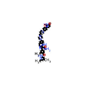 Cc1cc(C)nc(NC(=O)c2ccc(-c3nn4c(c3C(N)=O)Nc3ccc(N5CCN(CC6CCN(c7ccc(N8CCC(=O)NC8=O)cc7)CC6)CC5)cc3CC4)cc2C)c1